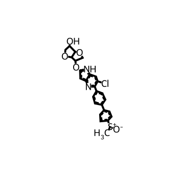 C[S+]([O-])c1ccc(-c2ccc(-c3nc4cc(OC5COC6C(O)COC56)[nH]c4cc3Cl)cc2)cc1